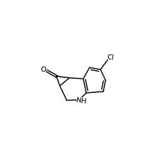 O=C1C2CNc3ccc(Cl)cc3C12